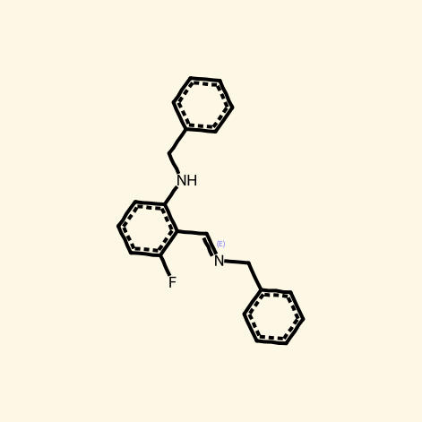 Fc1cccc(NCc2ccccc2)c1/C=N/Cc1ccccc1